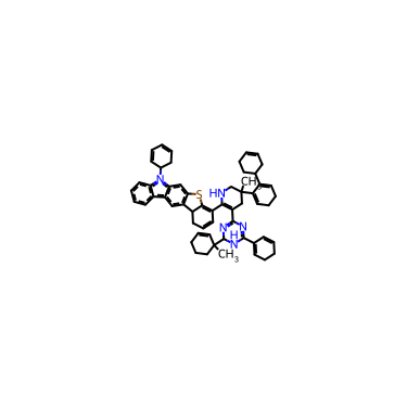 CC1(C2=CCCC=C2C2CC=CCC2)CNC(C2=C3Sc4cc5c(cc4C3CC=C2)c2ccccc2n5C2C=CC=CC2)=C(C2=NC(C3(C)C=CCCC3)NC(C3=CCCC=C3)=N2)C1